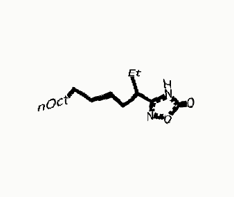 CCCCCCCCCCCCC(CC)c1noc(=O)[nH]1